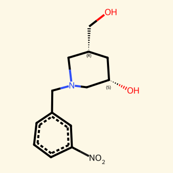 O=[N+]([O-])c1cccc(CN2C[C@@H](O)C[C@@H](CO)C2)c1